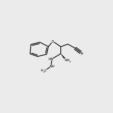 CNN[C@H](N)C(CC#N)Oc1ccccc1